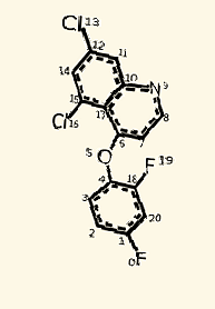 Fc1ccc(Oc2ccnc3cc(Cl)cc(Cl)c23)c(F)c1